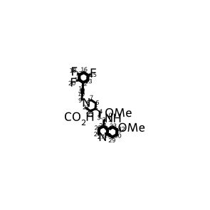 CON[C@@H](CC[C@@H]1CCN(CC#Cc2cc(F)cc(F)c2F)C[C@@H]1C(=O)O)c1ccnc2ccc(OC)cc12